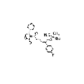 CC(C)(C)[Si](C)(C)OCC(=CCCC(=O)N1C(=O)OC[C@@H]1c1ccccc1)c1ccc(F)cc1